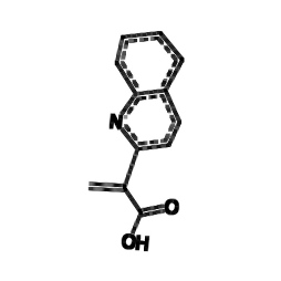 C=C(C(=O)O)c1ccc2ccccc2n1